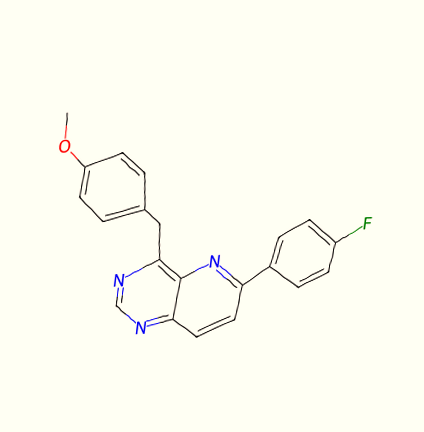 COc1ccc(Cc2ncnc3ccc(-c4ccc(F)cc4)nc23)cc1